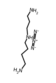 NCCCCNCCCN.[N-]=[N+]=[N-]